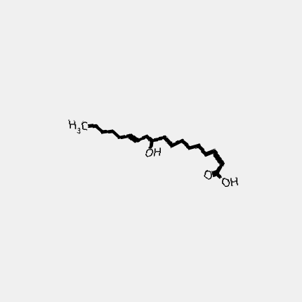 CCCCCC=CCC(O)CCCCCC/C=C\C(=O)O